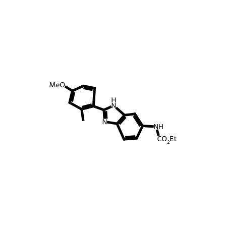 CCOC(=O)Nc1ccc2nc(-c3ccc(OC)cc3C)[nH]c2c1